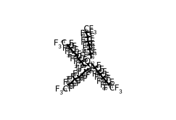 FC(F)(F)C(F)(F)C(F)(F)C(F)(F)C(F)(F)C(F)(F)C(F)(F)CO[Si](CC(F)(F)C(F)(F)C(F)(F)C(F)(F)C(F)(F)C(F)(F)C(F)(F)F)(CC(F)(F)C(F)(F)C(F)(F)C(F)(F)C(F)(F)C(F)(F)C(F)(F)F)CC(F)(F)C(F)(F)C(F)(F)C(F)(F)C(F)(F)C(F)(F)C(F)(F)F